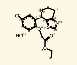 CCOC(=O)COc1ccc(Cl)cc1[C@H]1NCCc2ncsc21.Cl